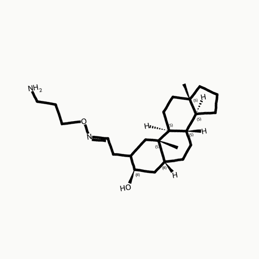 C[C@@]12CCC[C@H]1[C@@H]1CC[C@@H]3C[C@@H](O)C(CC=NOCCCN)C[C@]3(C)[C@H]1CC2